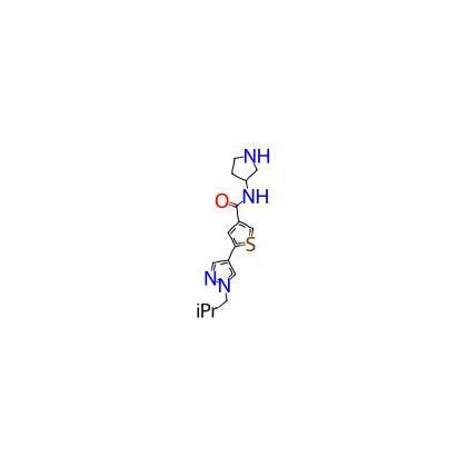 CC(C)Cn1cc(-c2cc(C(=O)NC3CCNC3)cs2)cn1